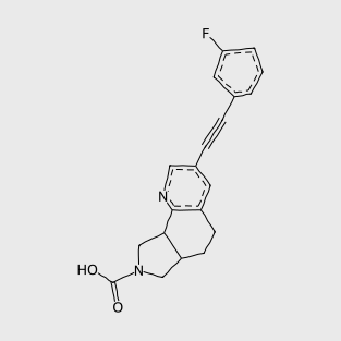 O=C(O)N1CC2CCc3cc(C#Cc4cccc(F)c4)cnc3C2C1